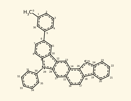 Cc1cccc(-c2ccc3c(c2)c2cc4c(ccc5c6ccccc6sc45)cc2n3-c2ccccc2)c1